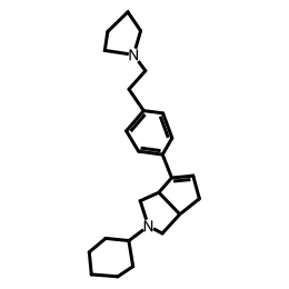 C1=C(c2ccc(CCN3CCCC3)cc2)C2CN(C3CCCCC3)CC2C1